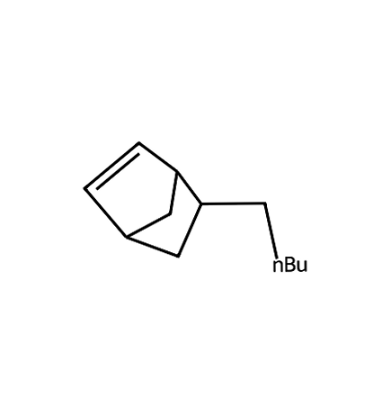 CCCCCC1CC2C=CC1C2